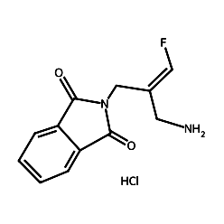 Cl.NC/C(=C/F)CN1C(=O)c2ccccc2C1=O